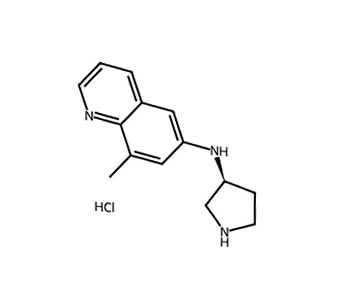 Cc1cc(N[C@H]2CCNC2)cc2cccnc12.Cl